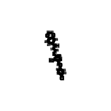 CCn1c(COc2ccc(Cl)cc2)nnc1SCCNc1ccc2c(c1)OCCO2